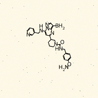 Bc1cnn2c(NCc3cccnc3)cc(C3CCCN(C(=O)NCc4ccc(ON)cc4)C3)nc12